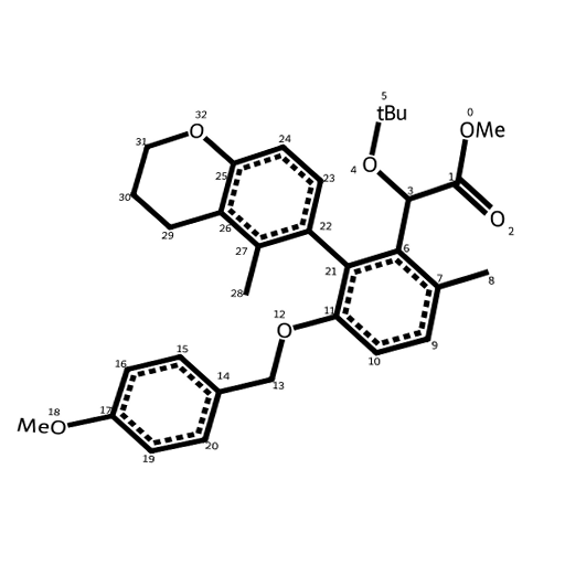 COC(=O)C(OC(C)(C)C)c1c(C)ccc(OCc2ccc(OC)cc2)c1-c1ccc2c(c1C)CCCO2